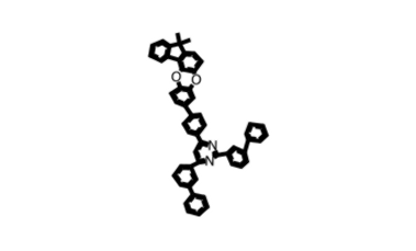 CC1(C)c2ccccc2-c2c1ccc1c2Oc2ccc(-c3ccc(-c4cc(-c5cccc(-c6ccccc6)c5)nc(-c5cccc(-c6ccccc6)c5)n4)cc3)cc2O1